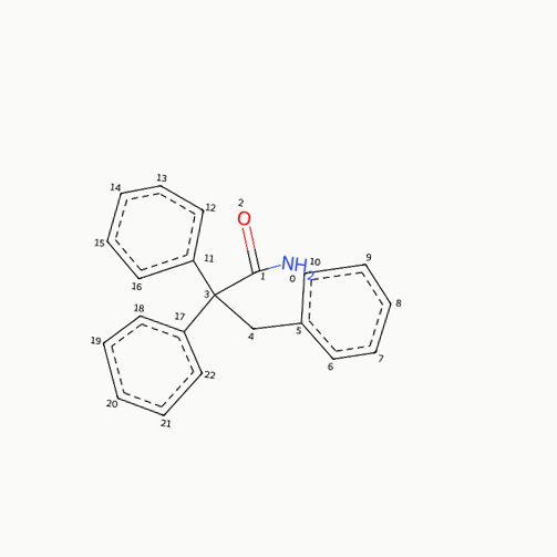 NC(=O)C(Cc1ccccc1)(c1ccccc1)c1ccccc1